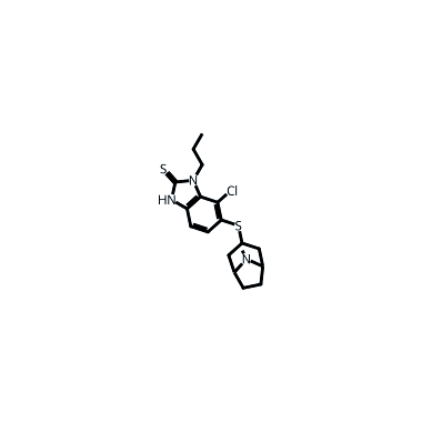 CCCn1c(=S)[nH]c2ccc(SC3CC4CCC(C3)N4C)c(Cl)c21